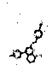 Cc1ncc(-c2cc(OCc3ccc(C#N)cn3)nc3c2CCCC3)cn1.Cl